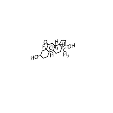 C[C@]12CC[C@H]3[C@@H](CC(=O)[C@@]4(F)C[C@H](O)CC[C@]34C)[C@@H]1CC[C@@H]2O